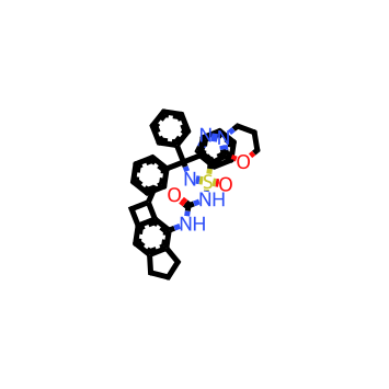 CC1Cc2cc3c(c(NC(=O)NS(=O)(=NC(c4ccccc4)(c4ccccc4)c4ccccc4)c4cnn5c4OCCC5)c21)CCC3